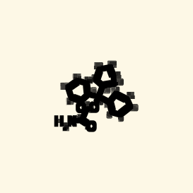 NC(=O)C(=O)OC(c1ccccc1)(c1ccccc1)c1ccccc1